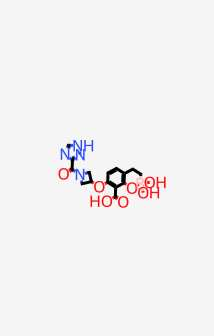 O=C(O)c1c(OC2CN(C(=O)c3nc[nH]n3)C2)ccc2c1O[B-](O)(O)CC2